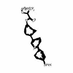 CCCCCCc1ccc(-c2ccc(-c3ccc(OC(=O)C(OCCCCC)C(F)(F)F)cc3)cn2)cc1